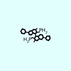 Cc1cc2cc(-c3ccccc3)ccc2c(-c2c(CP)c(C)cc3cc(-c4ccccc4)ccc23)c1CP